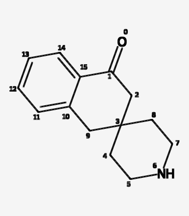 O=C1CC2(CCNCC2)Cc2ccccc21